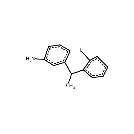 CC(c1cccc(N)c1)c1ccccc1I